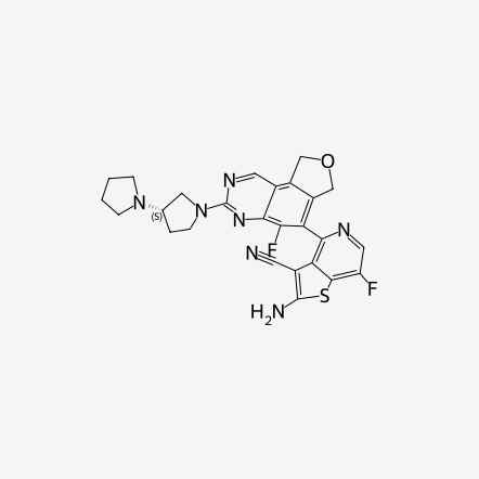 N#Cc1c(N)sc2c(F)cnc(-c3c4c(c5cnc(N6CC[C@H](N7CCCC7)C6)nc5c3F)COC4)c12